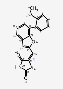 COc1ccccc1-c1cncc2cc(/C=C3/SC(=O)NC3=O)oc12